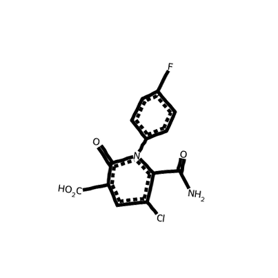 NC(=O)c1c(Cl)cc(C(=O)O)c(=O)n1-c1ccc(F)cc1